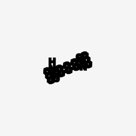 O=C1c2ccc3c4ccc5c6ccc7c8c(ccc(c9ccc(c%10ccc(c2c%103)C2Nc3cccc%10cc%11ccccc%11c(c3%10)N12)c4c95)c68)c(=O)n1c7nc2cccc3cc4ccccc4c1c32